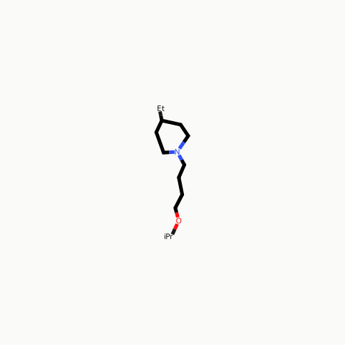 CCC1CCN(CCCCOC(C)C)CC1